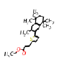 CCOC(=O)C=Cc1ccc(-c2cc3c(cc2C)C(C)(C)CCC3(C)C)s1